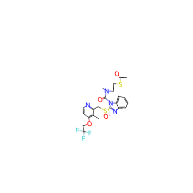 CC(=O)SCCN(C)C(=O)n1c([S+]([O-])Cc2nccc(OCC(F)(F)F)c2C)nc2ccccc21